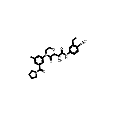 [C-]#[N+]c1ccc(NC(=O)[C@H](O)[C@H]2OCCN(c3cc(C)cc(C(=O)N4CCCC4)c3)C2=O)cc1CC